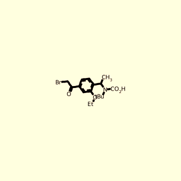 CCOc1cc(C(=O)CBr)ccc1C(C)N(C(=O)O)C(C)(C)C